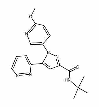 COc1ccc(-n2nc(C(=O)NC(C)(C)C)cc2-c2cccnn2)cn1